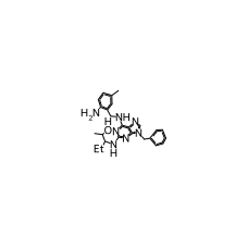 CCC(Nc1nc(NCc2cc(C)ccc2N)c2ncn(Cc3ccccc3)c2n1)C(C)O